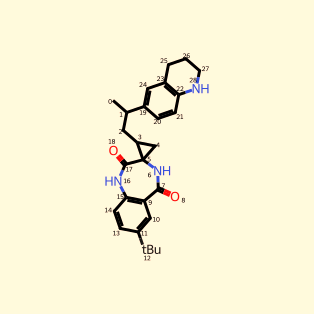 CC(CC1CC12NC(=O)c1cc(C(C)(C)C)ccc1NC2=O)c1ccc2c(c1)CCCN2